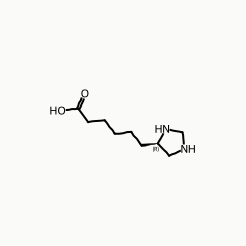 O=C(O)CCCCC[C@@H]1CNCN1